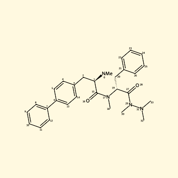 CN[C@H](Cc1ccc(-c2ccccc2)cc1)C(=O)N(C)[C@H](Cc1ccccc1)C(=O)N(C)N(C)C